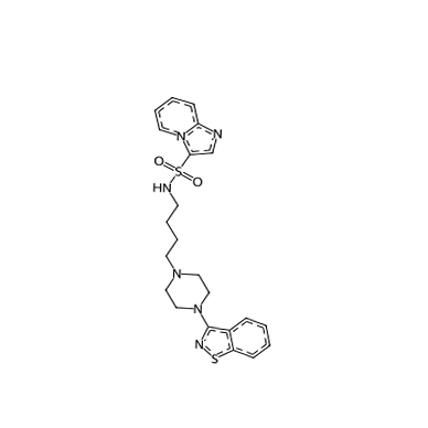 O=S(=O)(NCCCCN1CCN(c2nsc3ccccc23)CC1)c1cnc2ccccn12